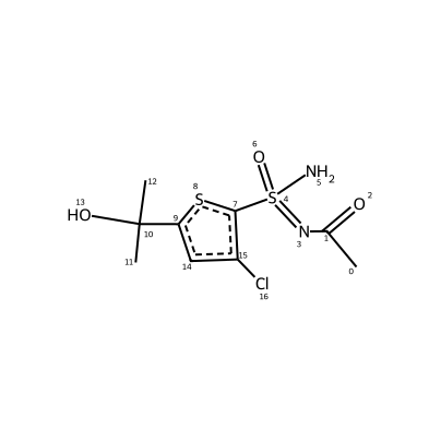 CC(=O)N=S(N)(=O)c1sc(C(C)(C)O)cc1Cl